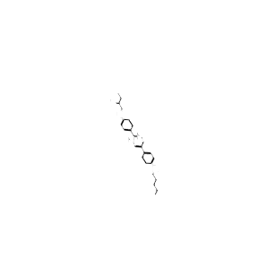 CCCCCOc1ccc(-c2cnc(-c3ccc(OCC(F)CC)cc3)nc2)cc1